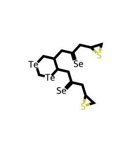 [Se]=C(CC1CS1)CC1C[Te]C[Te]C1CC(=[Se])CC1CS1